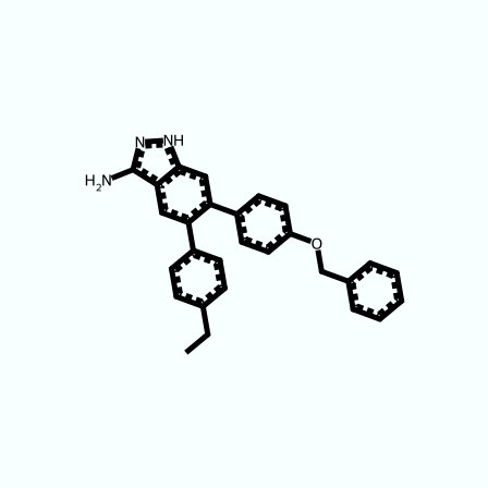 CCc1ccc(-c2cc3c(N)n[nH]c3cc2-c2ccc(OCc3ccccc3)cc2)cc1